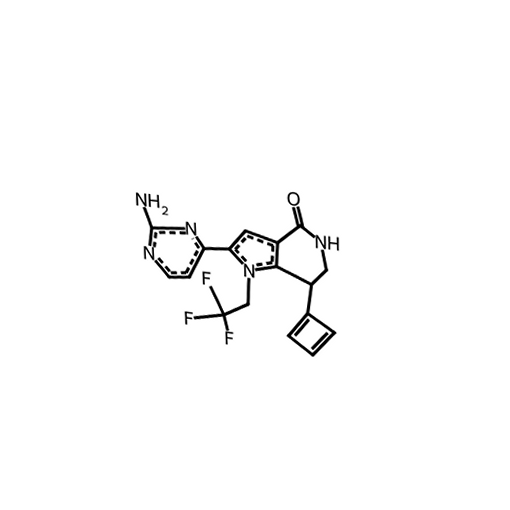 Nc1nccc(-c2cc3c(n2CC(F)(F)F)C(C2=CC=C2)CNC3=O)n1